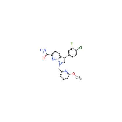 COc1cccc(Cn2cc(-c3ccc(Cl)c(F)c3)c3ccc(C(N)=O)nc32)n1